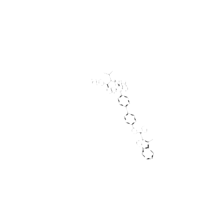 Cc1c(C(=O)Oc2ccc(-c3ccc(S(=O)(=O)NC(C(=O)O)C(C)C)cc3)cc2)oc2ccccc12